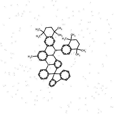 Cc1cc2c3c(c1)N1c4ccccc4C4(c5ccccc5-c5ccccc54)c4cccc(c41)B3N(c1ccc3c(c1)C(C)(C)CCC3(C)C)c1cc3c(cc1-2)C(C)(C)CCC3(C)C